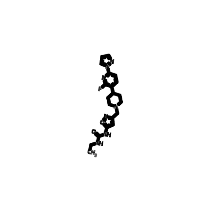 CCNC(=O)Nc1cc(CN2CCC(c3ccc(-n4cccn4)nc3F)CC2)no1